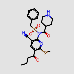 CCCC(=O)c1cc(C#N)c(N(C(=O)C2CCNCC2)S(=O)(=O)Cc2ccccc2)nc1SC